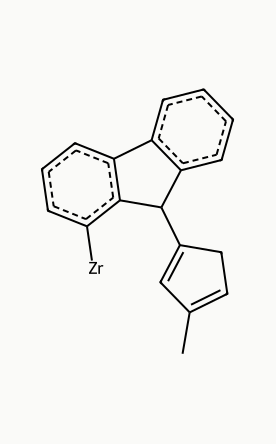 CC1=CCC(C2c3ccccc3-c3ccc[c]([Zr])c32)=C1